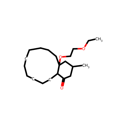 CCOCCOC12CCCCCCCCCCC1C(=O)CC(C)C2